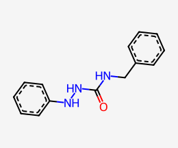 O=C(NCc1ccccc1)NNc1ccccc1